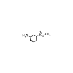 CO[SiH2]c1cccc(N)c1